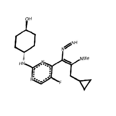 CN/C(CC1CC1)=C(\N=N)c1nc(N[C@H]2CC[C@H](O)CC2)ncc1F